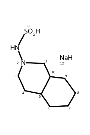 O=S(=O)(O)NN1CCC2CCCCC2C1.[NaH]